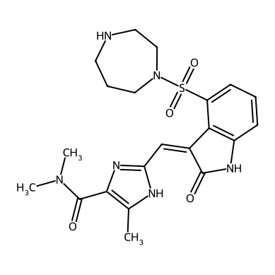 Cc1[nH]c(/C=C2\C(=O)Nc3cccc(S(=O)(=O)N4CCCNCC4)c32)nc1C(=O)N(C)C